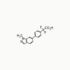 Cn1ncc2ccc(-c3ccc(C(F)(F)C(=O)O)cc3)cc21